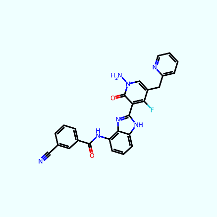 N#Cc1cccc(C(=O)Nc2cccc3[nH]c(-c4c(F)c(Cc5ccccn5)cn(N)c4=O)nc23)c1